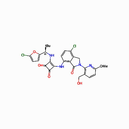 COc1ccc(CO)c(N2Cc3c(Cl)ccc(Nc4c(N[C@@H](c5ccc(Cl)o5)C(C)(C)C)c(=O)c4=O)c3C2=O)n1